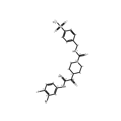 CS(=O)(=O)c1ccc(CNC(=O)N2CCC(C(=O)C(=N)Nc3ccc(F)c(Br)c3)CC2)cc1